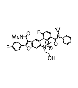 CNC(=O)c1c(-c2ccc(F)cc2)oc2cc(N(CCO)S(C)(=O)=O)c(-c3cc(C(=O)N(c4ccccc4)C4CC4)ccc3F)cc12